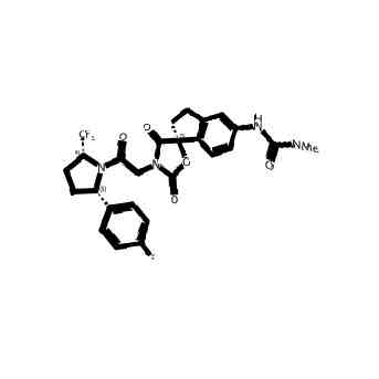 CNC(=O)Nc1ccc2c(c1)CC[C@@]21OC(=O)N(CC(=O)N2[C@H](c3ccc(F)cc3)CC[C@@H]2C(F)(F)F)C1=O